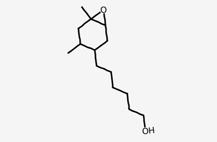 CC1CC2(C)OC2CC1CCCCCCO